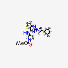 COC(=O)N1CC[C@@H](Nc2nc(N3CC(c4ccccc4)C3)nc3c2SCC3)C1